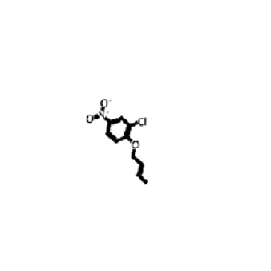 CC=CCOc1ccc([N+](=O)[O-])cc1Cl